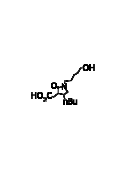 CCCCC1CN(CCCCCO)C(=O)C1CC(=O)O